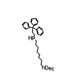 CCCCCCCCCCCCCCCCCCPCCC(c1ccccc1)(c1ccccc1)c1ccccc1